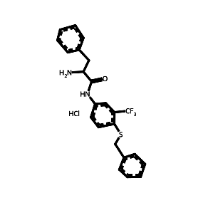 Cl.NC(Cc1ccccc1)C(=O)Nc1ccc(SCc2ccccc2)c(C(F)(F)F)c1